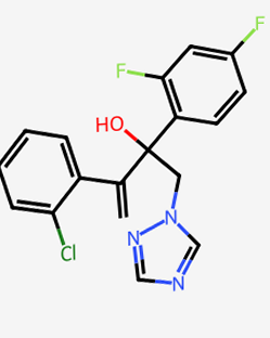 C=C(c1ccccc1Cl)C(O)(Cn1cncn1)c1ccc(F)cc1F